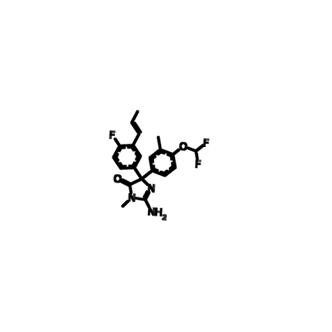 C/C=C/c1cc(C2(c3ccc(OC(F)F)c(C)c3)N=C(N)N(C)C2=O)ccc1F